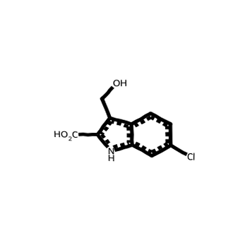 O=C(O)c1[nH]c2cc(Cl)ccc2c1CO